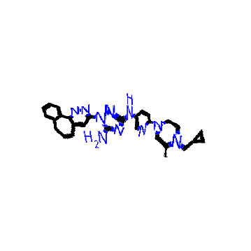 C[C@H]1CN(c2ccc(Nc3nc(N)n(-c4cc5c(nn4)-c4ccccc4CCC5)n3)cn2)CCN1CC1CC1